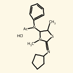 CC(=O)N(c1ccccc1)C1C(C)SC(=NC2CCCC2)N1C.Cl